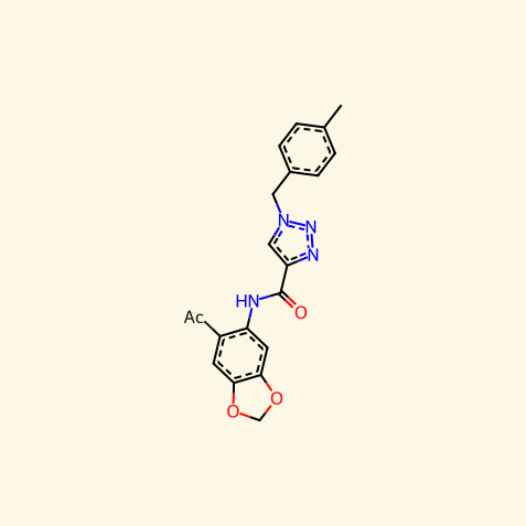 CC(=O)c1cc2c(cc1NC(=O)c1cn(Cc3ccc(C)cc3)nn1)OCO2